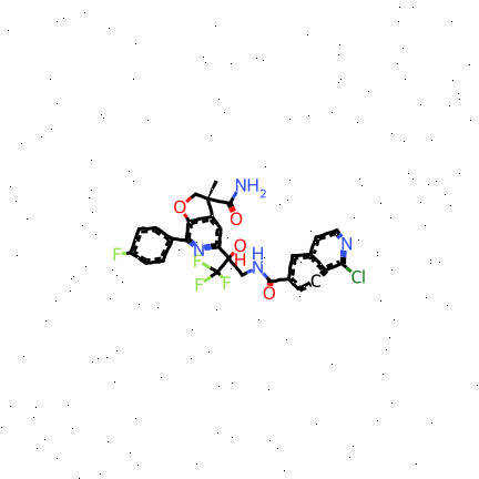 C[C@]1(C(N)=O)COc2c1cc(C(O)(CNC(=O)c1ccc3c(Cl)nccc3c1)C(F)(F)F)nc2-c1ccc(F)cc1